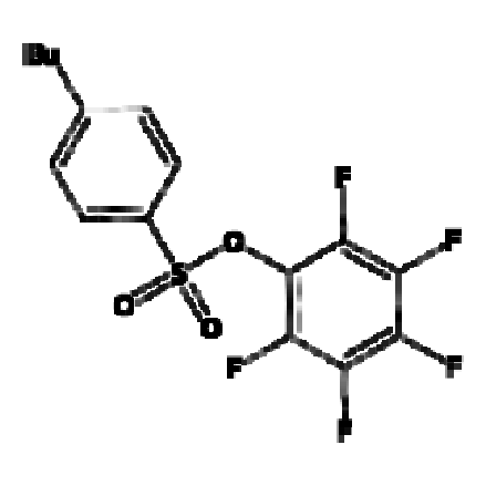 CCC(C)c1ccc(S(=O)(=O)Oc2c(F)c(F)c(F)c(F)c2F)cc1